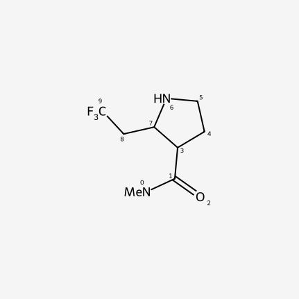 CNC(=O)C1CCNC1CC(F)(F)F